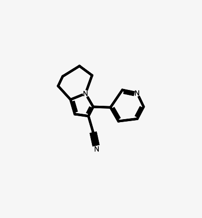 N#Cc1cc2n(c1-c1cccnc1)CCCC2